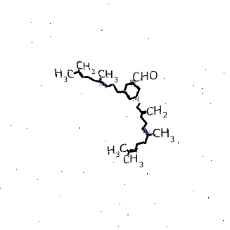 C=C(CC/C=C(\C)CCC=C(C)C)CC[C@@H]1C=C(CC/C=C(\C)CCC=C(C)C)C[C@H](C=O)C1